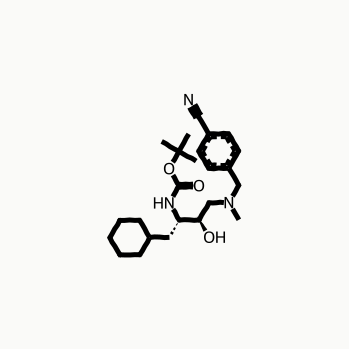 CN(Cc1ccc(C#N)cc1)C[C@@H](O)[C@H](CC1CCCCC1)NC(=O)OC(C)(C)C